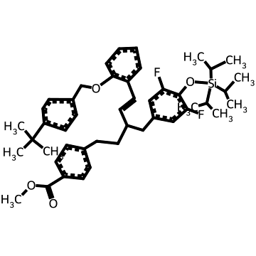 COC(=O)c1ccc(CCC(C=Cc2ccccc2OCc2ccc(C(C)(C)C)cc2)Cc2cc(F)c(O[Si](C(C)C)(C(C)C)C(C)C)c(F)c2)cc1